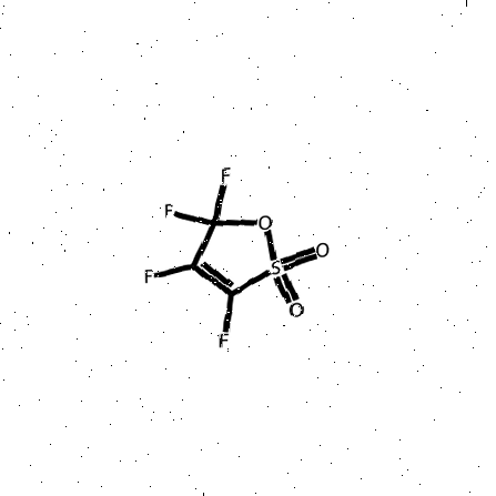 O=S1(=O)OC(F)(F)C(F)=C1F